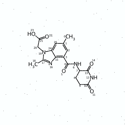 Cc1cc(C(=O)NC2CCC(=O)NC2=O)c2nc(C)n(CC(=O)O)c2c1